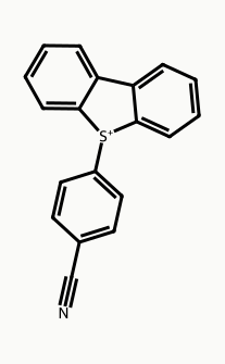 N#Cc1ccc(-[s+]2c3ccccc3c3ccccc32)cc1